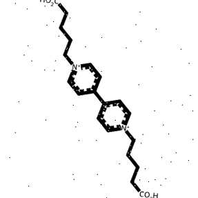 O=C(O)CCCC[n+]1ccc(-c2cc[n+](CCCCC(=O)O)cc2)cc1